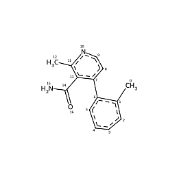 Cc1ccccc1-c1ccnc(C)c1C(N)=O